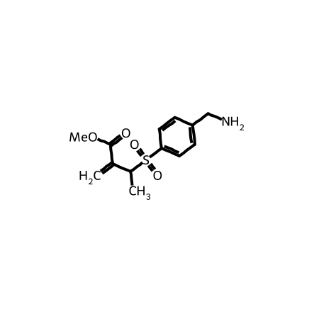 C=C(C(=O)OC)C(C)S(=O)(=O)c1ccc(CN)cc1